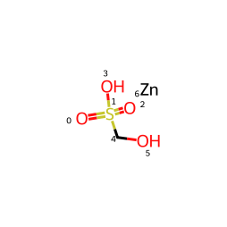 O=S(=O)(O)CO.[Zn]